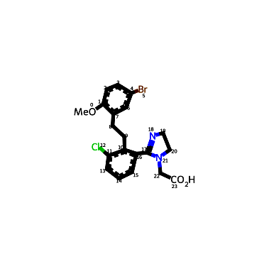 COc1ccc(Br)cc1CCc1c(Cl)cccc1C1=NCCN1CC(=O)O